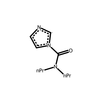 CCCN(CCC)C(=O)n1[c]ncc1